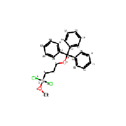 CCO[Si](Cl)(Cl)CCCOC(c1ccccc1)(c1ccccc1)c1ccccc1